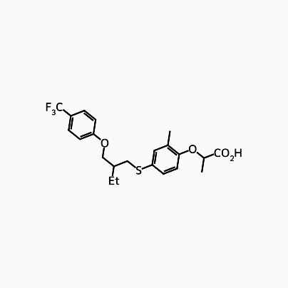 CCC(COc1ccc(C(F)(F)F)cc1)CSc1ccc(OC(C)C(=O)O)c(C)c1